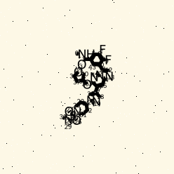 CNC(=O)c1cc(F)c(F)c(-c2cnc3cc(-c4cnn(C5CCN(S(=O)(=O)N(C)C)CC5)c4)c(OC4CCOC4)nn23)c1